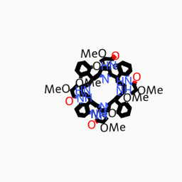 COc1cccc(OC)c1/C1=C2\C=CC(=N2)/C(c2c(NC(=O)[C@H](C)OC)cccc2NC(=O)[C@@H](C)OC)=c2/cc/c([nH]2)=C(\c2c(OC)cccc2OC)C2C=C/C(=C(\c3c(NC(=O)[C@H](C)OC)cccc3NC(=O)[C@@H](C)OC)c3ccc1[nH]3)N2